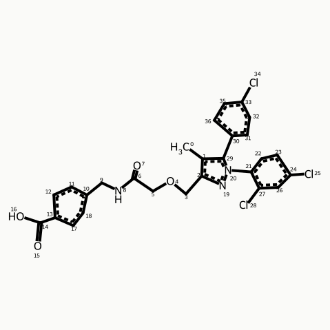 Cc1c(COCC(=O)NCc2ccc(C(=O)O)cc2)nn(-c2ccc(Cl)cc2Cl)c1-c1ccc(Cl)cc1